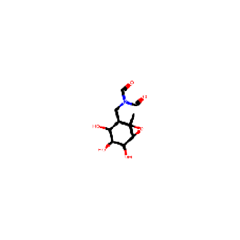 CC12OC1C(O)C(O)C(O)C2CN(C=O)C=O